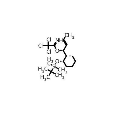 C/C=C/[C@H](OC(=N)C(Cl)(Cl)Cl)[C@@H]1CCCC[C@@H]1O[Si](C)(C)C(C)(C)C